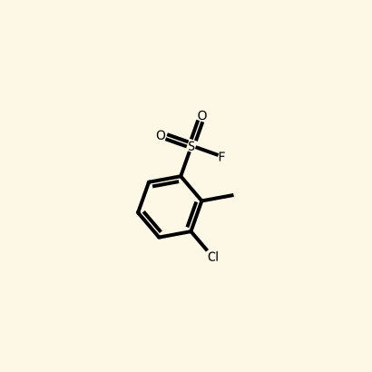 Cc1c(Cl)cccc1S(=O)(=O)F